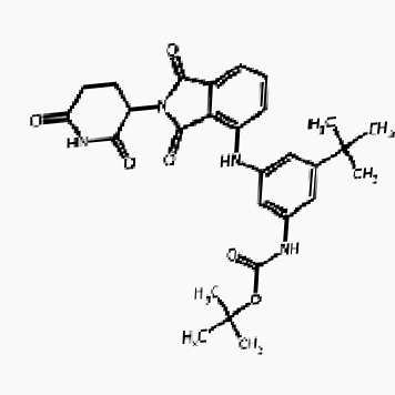 CC(C)(C)OC(=O)Nc1cc(Nc2cccc3c2C(=O)N(C2CCC(=O)NC2=O)C3=O)cc(C(C)(C)C)c1